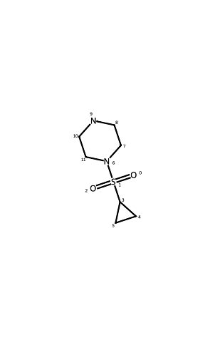 O=S(=O)(C1CC1)N1CC[N]CC1